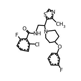 Cc1ncsc1C(CNC(=O)c1c(F)cccc1Cl)N1CCC(Oc2cccc(F)c2)CC1